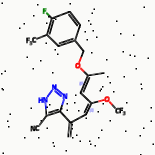 C=C(/C=C(\C=C(/C)OCc1ccc(F)c(C(F)(F)F)c1)OC(F)(F)F)c1nn[nH]c1C#N